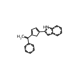 C=C(C1=CC=C(c2cc3ccccc3[nH]2)C1)c1ccccc1